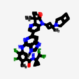 Cc1c(C(=O)NC2(C(F)F)CC2)cc(Nc2nc(-c3cnc4c(c3)N(C3CC(C)(N5CC6CCC6C5)C3)C(=O)C4(C)C)cc3ncn(C(C)C)c23)c(F)c1F